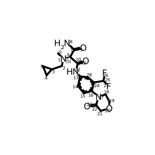 CN(CC1CC1)[C@@H](C(N)=O)C(=O)Nc1ccc(N2CCOCC2=O)c(C(F)F)c1